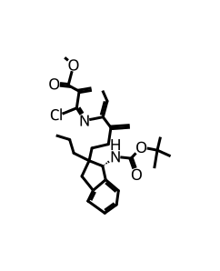 C=C(CCC1(CCC)Cc2ccccc2[C@H]1NC(=O)OC(C)(C)C)C(=C/C)/N=C(/Cl)C(=C)C(=O)OC